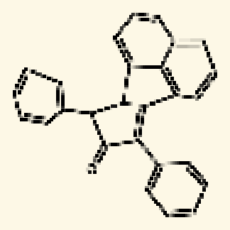 O=C1C(c2ccccc2)=C2c3cccc4cccc(c34)C2C1c1ccccc1